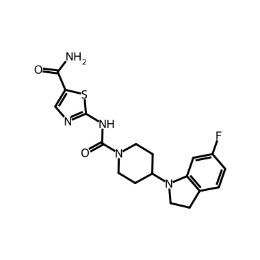 NC(=O)c1cnc(NC(=O)N2CCC(N3CCc4ccc(F)cc43)CC2)s1